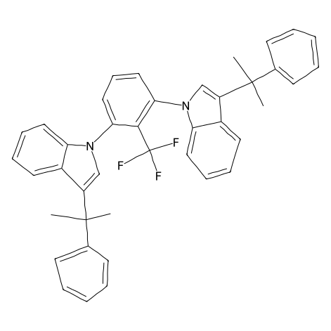 CC(C)(c1ccccc1)c1cn(-c2cccc(-n3cc(C(C)(C)c4ccccc4)c4ccccc43)c2C(F)(F)F)c2ccccc12